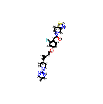 Cc1cnc(N2CCC([C@H]3C[C@H]3CCOc3ccc(CC(=O)N4CCc5scnc5C4)c(F)c3)CC2)nc1